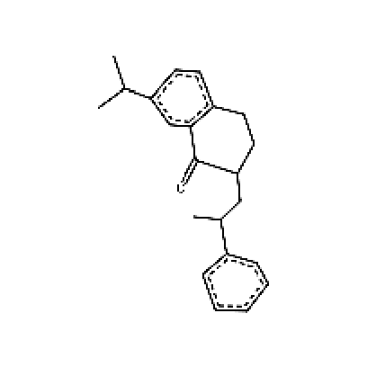 CC(C)c1ccc2c(c1)C(=O)C(CC(C)c1ccccc1)CC2